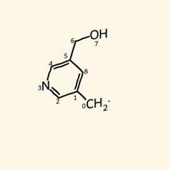 [CH2]c1cncc(CO)c1